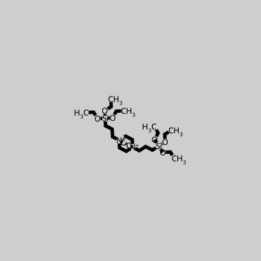 CCO[Si](CCC[N+]12CC[N+](CCC[Si](OCC)(OCC)OCC)(CC1)CC2)(OCC)OCC